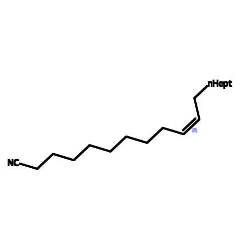 CCCCCCCC/C=C\CCCCCCCCC#N